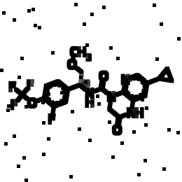 COC[C@H](NC(=O)N1CC(=O)Nc2cc(C3CC3)cnc21)c1ccc(OC(F)(F)F)c(F)c1